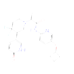 CC(C(=O)Nc1ccc(OC2CCC2)cn1)N1CCC(F)(F)C(c2ccc(=O)[nH]c2)C1